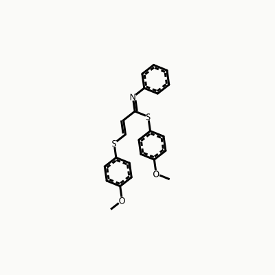 COc1ccc(SC=CC(=Nc2ccccc2)Sc2ccc(OC)cc2)cc1